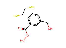 O=C(OO)c1cccc(CO)c1.SCCS